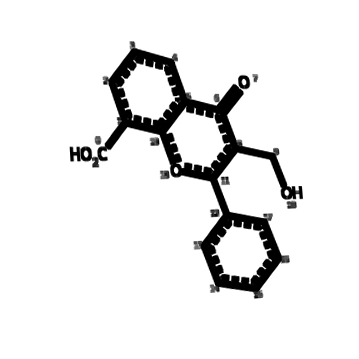 O=C(O)c1cccc2c(=O)c(CO)c(-c3ccccc3)oc12